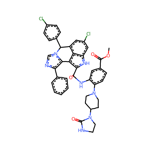 COC(=O)c1ccc(N2CCC(N3CCNC3=O)CC2)c(NC(=O)c2[nH]c3cc(Cl)cc4c3c2-c2c(-c3ccccc3)ncn2C4c2ccc(Cl)cc2)c1